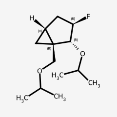 CC(C)OC[C@@]12C[C@@H]1C[C@@H](F)[C@@H]2OC(C)C